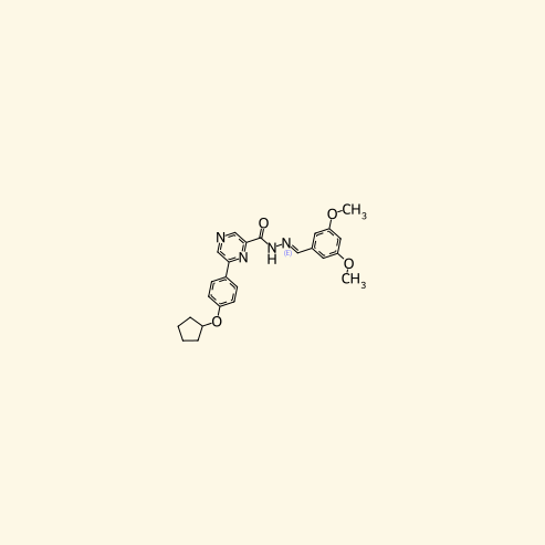 COc1cc(/C=N/NC(=O)c2cncc(-c3ccc(OC4CCCC4)cc3)n2)cc(OC)c1